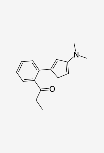 CCC(=O)c1ccccc1C1=CC(N(C)C)=CC1